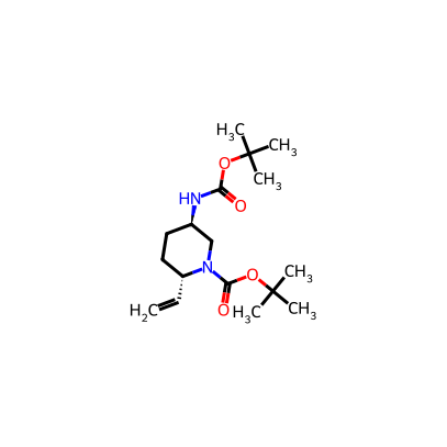 C=C[C@@H]1CC[C@@H](NC(=O)OC(C)(C)C)CN1C(=O)OC(C)(C)C